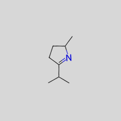 CC1CCC(C(C)C)=N1